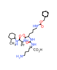 CC(C)[C@H](NC(=O)C(CCCCNC(=O)OCc1ccccc1)NC(=O)N[C@@H](CCCCN)C(=O)O)C(=O)N[C@@H]1CCCCC1C